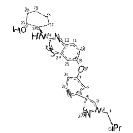 CC(C)Cn1cc(-c2cc(Oc3ccc4nc(N[C@@H]5CCCC[C@H]5O)sc4c3)ccn2)cn1